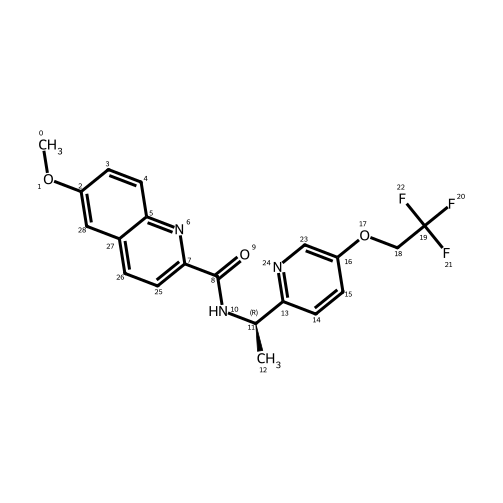 COc1ccc2nc(C(=O)N[C@H](C)c3ccc(OCC(F)(F)F)cn3)ccc2c1